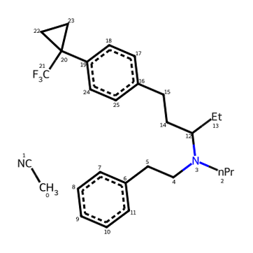 CC#N.CCCN(CCc1ccccc1)C(CC)CCc1ccc(C2(C(F)(F)F)CC2)cc1